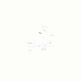 COB(O)c1cnn(C)c1COC(=O)N(C)C1CCCC1